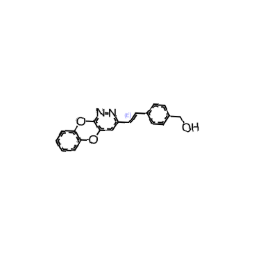 OCc1ccc(/C=C/c2cc3c(nn2)Oc2ccccc2O3)cc1